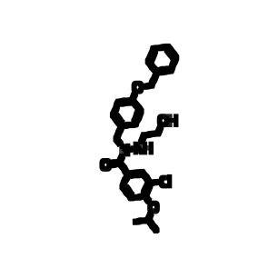 CC(C)Oc1ccc(C(=O)N(Cc2ccc(OCc3ccccc3)cc2)NCCO)cc1Cl